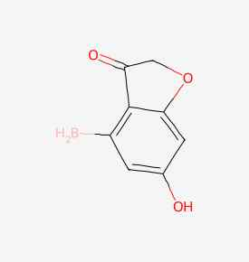 Bc1cc(O)cc2c1C(=O)CO2